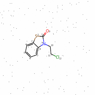 O=c1sc2ccccc2n1CCCl